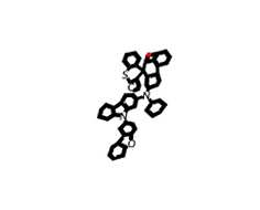 c1ccc(N(c2ccc3c(c2)C2(c4ccccc4Sc4ccccc42)c2cccc4cccc-3c24)c2ccc3c4ccccc4n(-c4ccc5oc6ccccc6c5c4)c3c2)cc1